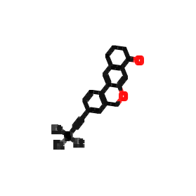 CC[Si](C#Cc1ccc2c(c1)COc1cc3c(cc1-2)CCCC3=O)(CC)CC